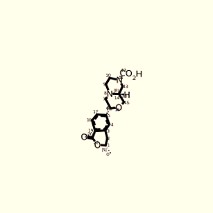 C[C@H]1Cc2cc([C@@H]3CN4CCN(C(=O)O)C[C@@H]4CO3)ccc2C(=O)O1